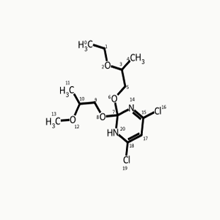 CCOC(C)COC1(OCC(C)OC)N=C(Cl)C=C(Cl)N1